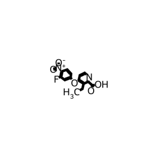 CCc1c(Oc2ccc([N+](=O)[O-])c(F)c2)ccnc1C(=O)O